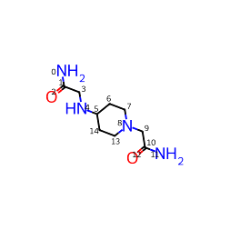 NC(=O)CNC1CCN(CC(N)=O)CC1